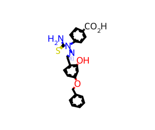 NC(=S)N(/N=C/c1ccc(OCc2ccccc2)cc1O)c1ccc(C(=O)O)cc1